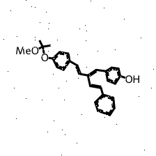 COC(C)(C)Oc1ccc(C=CC(C=Cc2ccccc2)=Cc2ccc(O)cc2)cc1